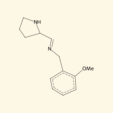 COc1ccccc1CN=CC1CCCN1